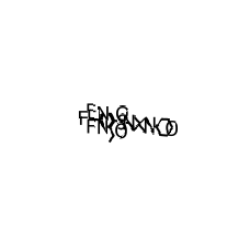 CCc1nc(C(F)(F)F)ncc1S(=O)(=O)N1CC2(CN(C3CCOCC3)C2)C1